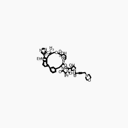 CCn1c(-c2cncnc2)c2c3cc(ccc31)-c1cccc(c1)C[C@H](NC(=O)[C@H](C(C)C)N(C)C(=O)[C@@]1(O)CCN(C(=O)C#CCN3CCOCC3)C1)C(=O)N1CCC[C@@](O)(N1)C(=O)OCC(C)(C)C2